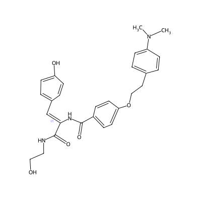 CN(C)c1ccc(CCOc2ccc(C(=O)N/C(=C\c3ccc(O)cc3)C(=O)NCCO)cc2)cc1